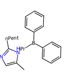 CC(C)B(c1ccccc1)c1ccccc1.CCCCCc1ncc(C)[nH]1